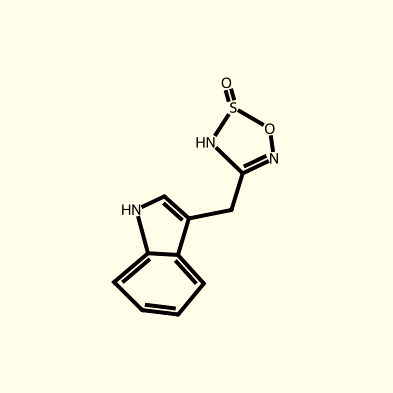 O=S1NC(Cc2c[nH]c3ccccc23)=NO1